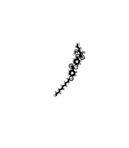 CCCCCCCCCCOc1ccc(C(=O)Oc2ccc(OC(=O)[C@@H](C)[C@@H](F)CCC)cc2)cc1